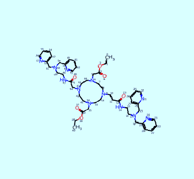 CCOC(=O)CN1CCN(CCC(=O)NCCN(Cc2ccccn2)Cc2ccccn2)CCN(CC(=O)OCC)CCN(CC(=O)NCCN(Cc2ccccn2)Cc2ccccn2)CC1